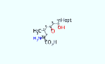 CCCCCCCC(O)CC(=O)CC(C)C[C@H](N)C(=O)O